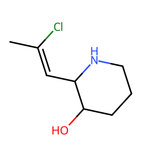 CC(Cl)=CC1NCCCC1O